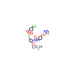 O=C(O)COc1ccc(CCCS(=O)(=O)c2ccc(Cl)cc2)cc1NC(=O)c1cccc(OCc2nccs2)c1